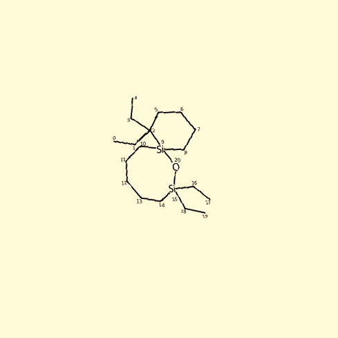 CCC1(CC)CCCC[Si]12CCCCC[Si](CC)(CC)O2